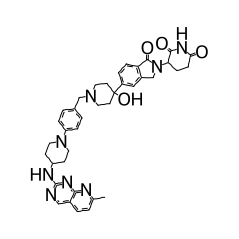 Cc1ccc2cnc(NC3CCN(c4ccc(CN5CCC(O)(c6ccc7c(c6)CN(C6CCC(=O)NC6=O)C7=O)CC5)cc4)CC3)nc2n1